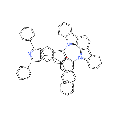 c1ccc(-c2cc(-c3ccccc3)cc(-n3c4ccccc4c4ccc5c6ccccc6n(-c6cc(-c7ccccc7)cc(-c7cc(-c8ccccc8)nc(-c8ccccc8)c7)c6)c5c43)c2)cc1